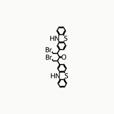 O=C(C(CBr)c1ccc2c(c1)Nc1ccccc1S2)C(CBr)c1ccc2c(c1)Nc1ccccc1S2